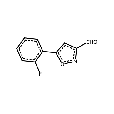 O=Cc1cc(-c2ccccc2F)on1